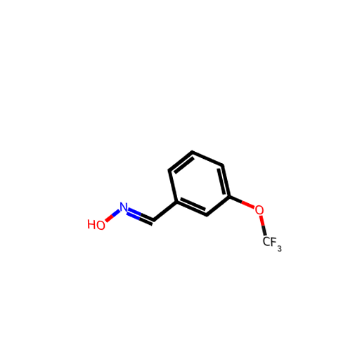 O/N=C/c1cccc(OC(F)(F)F)c1